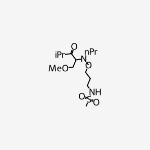 [CH2]CCN(OCCCNS(C)(=O)=O)C(COC)C(=O)C(C)C